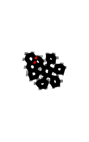 c1ccc(-c2c(-c3ccccc3)c(-c3ccccc3)c(-c3cccc4cc5ccccc5cc34)c(-c3ccccc3)c2-c2ccccc2)cc1